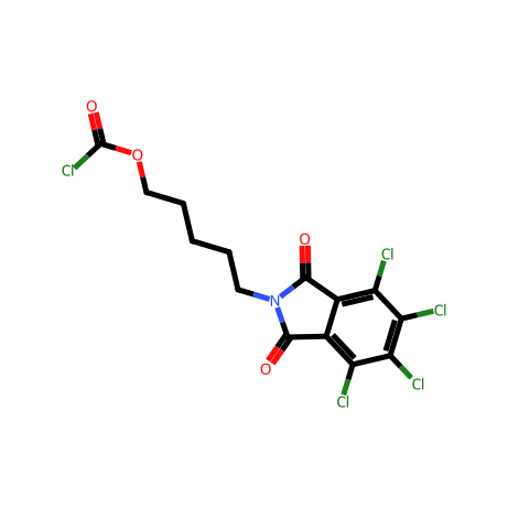 O=C(Cl)OCCCCCN1C(=O)c2c(Cl)c(Cl)c(Cl)c(Cl)c2C1=O